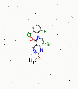 CSc1ncc2c(=O)n(-c3c(F)cccc3Cl)cc(Br)c2n1